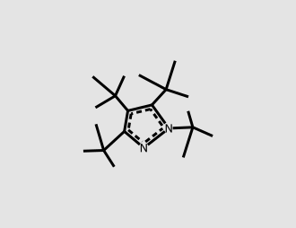 CC(C)(C)c1nn(C(C)(C)C)c(C(C)(C)C)c1C(C)(C)C